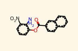 Nc1c(OC(=O)c2ccc3ccccc3c2)cccc1[N+](=O)[O-]